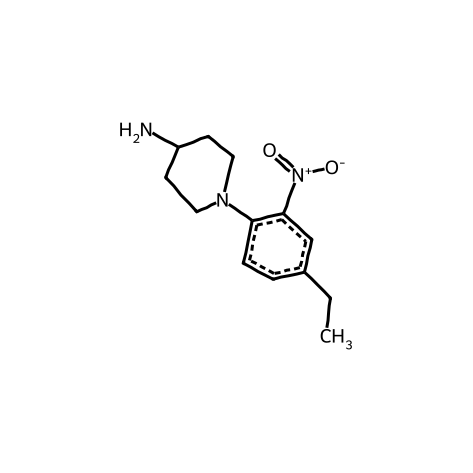 CCc1ccc(N2CCC(N)CC2)c([N+](=O)[O-])c1